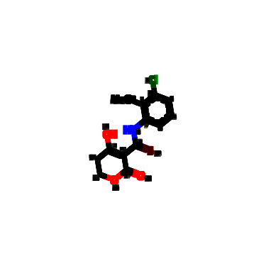 COc1c(Cl)cccc1NC(=S)C1=C(O)CCOC1=O